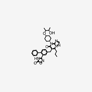 CCCc1c(Cc2ccc(-c3ccccc3)c(-c3noc(=O)[nH]3)c2)c(=O)n([C@H]2CC[C@H](OC(C)C(C)O)CC2)c2ncnn12